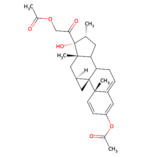 CC(=O)OCC(=O)[C@@]1(O)[C@H](C)CC2C3CC=C4C=C(OC(C)=O)C=C[C@]4(C)[C@@]34C[C@H]4C[C@@]21C